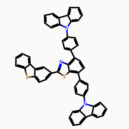 c1ccc2c(c1)sc1ccc(-c3nc4c(-c5ccc(-n6c7ccccc7c7ccccc76)cc5)ccc(-c5ccc(-n6c7ccccc7c7ccccc76)cc5)c4s3)cc12